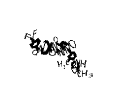 Cc1cc(-n2c(Cl)cc3c(=O)n(CC4(O)CCN(C(=O)c5ccc(C(F)F)cc5)CC4)cnc32)ccc1[C@H]1CO[C@H](C)CN1